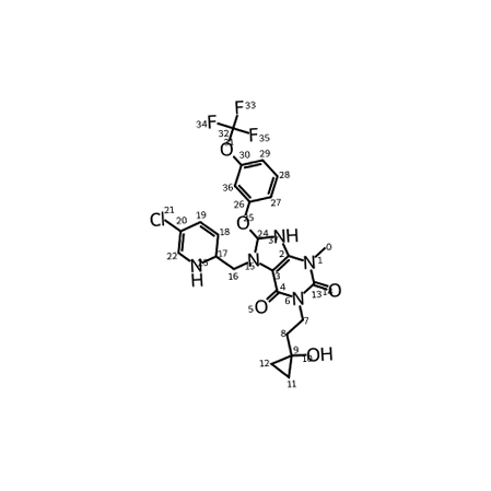 Cn1c2c(c(=O)n(CCC3(O)CC3)c1=O)N(CC1C=CC(Cl)=CN1)C(Oc1cccc(OC(F)(F)F)c1)N2